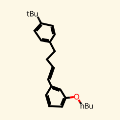 CCCCOc1cccc(/C=C/CCc2ccc(C(C)(C)C)cc2)c1